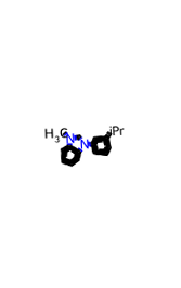 CC(C)c1cccc(N2CN(C)c3ccccc32)c1